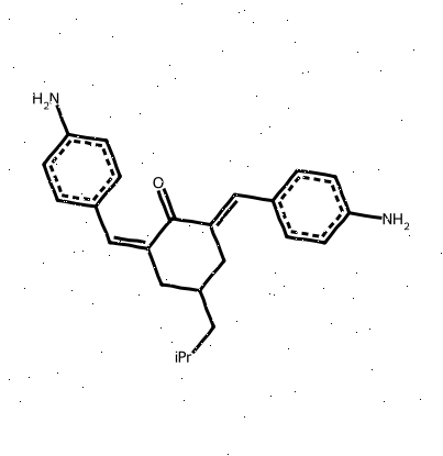 CC(C)CC1CC(=Cc2ccc(N)cc2)C(=O)C(=Cc2ccc(N)cc2)C1